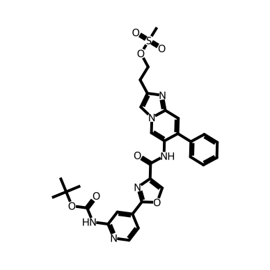 CC(C)(C)OC(=O)Nc1cc(-c2nc(C(=O)Nc3cn4cc(CCOS(C)(=O)=O)nc4cc3-c3ccccc3)co2)ccn1